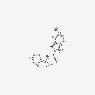 N#Cc1ccc2[nH]c(C(=O)NC3(c4ccccc4)CC3)cc2c1